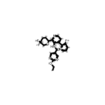 CCOc1ncc(C(=O)Nc2c(-c3ncccc3F)ccnc2C2CCC(F)(F)CO2)cn1